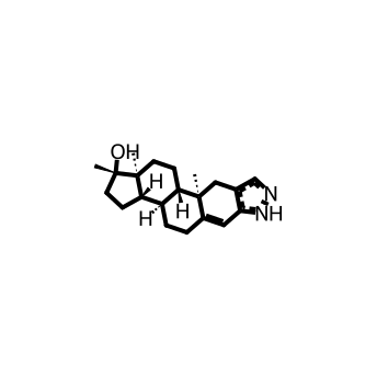 C[C@]12Cc3cn[nH]c3C=C1CC[C@@H]1[C@@H]2CC[C@@]2(C)[C@H]1CC[C@]2(C)O